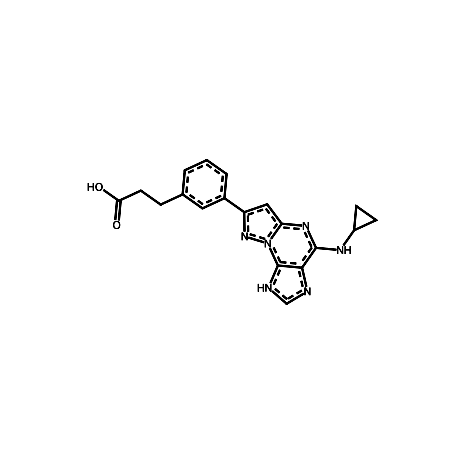 O=C(O)CCc1cccc(-c2cc3nc(NC4CC4)c4nc[nH]c4n3n2)c1